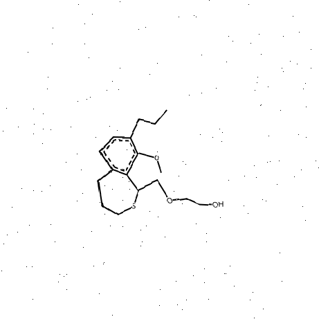 CCCc1ccc2c(c1OC)C(COCCO)SCCC2